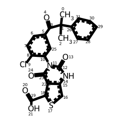 CC(C)(C(=O)c1ccc(Cl)c(-n2c(=O)[nH]c3csc(C(=O)O)c3c2=O)c1)c1ccccc1